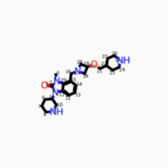 Cn1c(=O)n(C2CCCNC2)c2cccc(CN3CC(OCC4CCNCC4)C3)c21